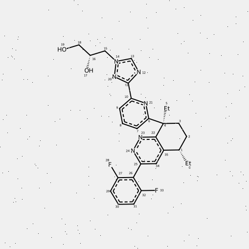 CC[C@H]1CC[C@](CC)(c2cccc(-c3ncn(C[C@H](O)CO)n3)n2)c2nnc(-c3c(F)cccc3F)cc21